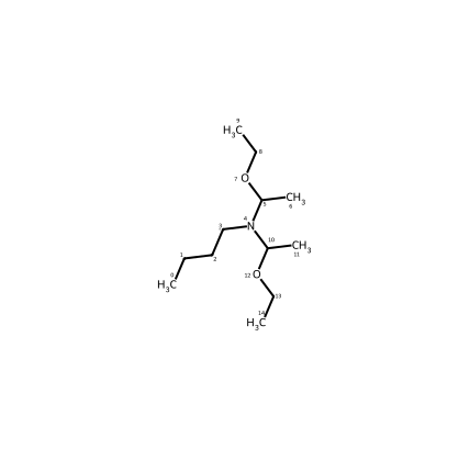 CCC[CH]N(C(C)OCC)C(C)OCC